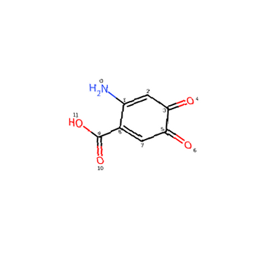 NC1=CC(=O)C(=O)C=C1C(=O)O